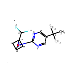 CC(C)(C)c1cnc(N2CC3CC2(C(F)F)C3)nc1